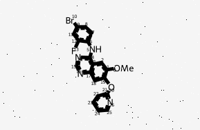 COc1cc2c(Nc3ccc(Br)cc3F)ncnc2cc1Oc1cc[c]cn1